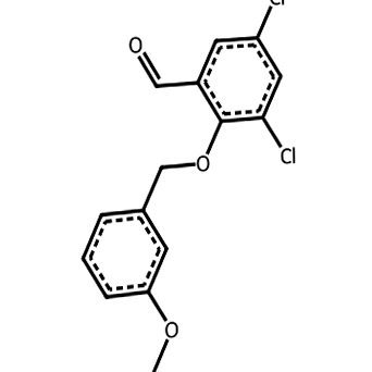 COc1cccc(COc2c(Cl)cc(Cl)cc2C=O)c1